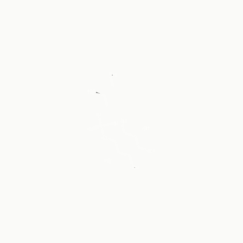 O=P(O)(OC[C@@H](O)CO)OC1C(O)C(O)C(O)C(O)C1O